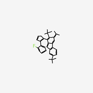 CC(C)=c1cc2c(c(C3=C(c4ccccc4F)C=CC3)c1C(C)(C)C)=[C]c1cc(C(C)(C)C)ccc1-2